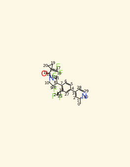 Cc1cc(-c2ccc(C3CCN(C(=O)C4(C(F)(F)F)CC4)C3)c(C(F)(F)F)c2)ccn1